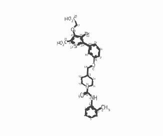 Cc1ccccc1NC(=O)N1CCC(COc2cccc(-c3sc(C(=O)O)c(OCC(=O)O)c3Br)c2)CC1